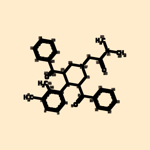 Cc1cccc(C2C(C(=O)c3ccccc3)CN(CC(=O)N(C)C)CC2C(=O)c2ccccc2)c1C